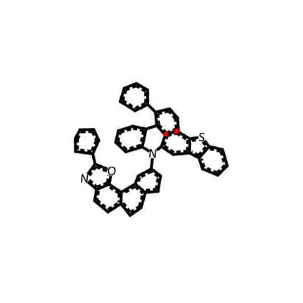 c1ccc(-c2nc3ccc4ccc5ccc(N(c6ccc7sc8ccccc8c7c6)c6ccccc6-c6ccccc6-c6ccccc6)cc5c4c3o2)cc1